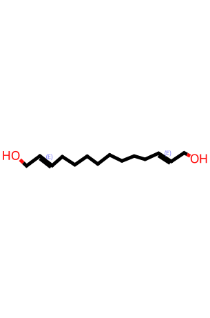 OC/C=C/CCCCCCCC/C=C/CO